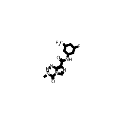 Cn1nnc2c(C(=O)NC3CC(F)CC(C(F)(F)F)C3)ncn2c1=O